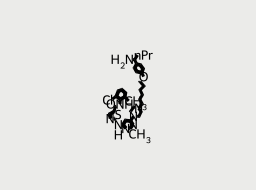 CCCC(N)c1ccc(OCCCCCCN2CCN(c3cc(Nc4ncc(C(=O)Nc5c(C)cccc5Cl)s4)nc(C)n3)CC2)cc1